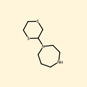 C1CNCCN([C]2CSCCS2)C1